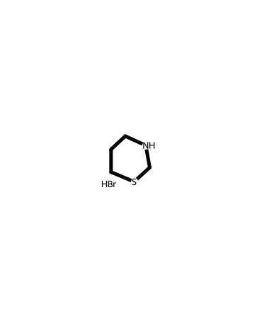 Br.C1CNCSC1